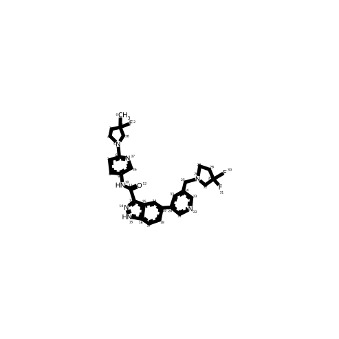 CC1(F)CCN(c2ccc(NC(=O)c3n[nH]c4ccc(-c5cncc(CN6CCC(F)(F)C6)c5)cc34)cn2)C1